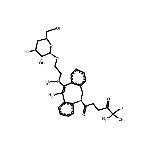 CCC(C)(C)C(=O)CCC(=O)N1Cc2ccccc2/C(N(N)CCO[C@@H]2O[C@H](CO)C[C@H](O)[C@H]2O)=C(/N)c2ccccc21